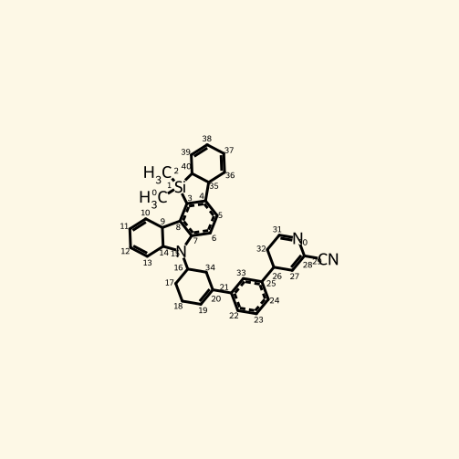 C[Si]1(C)c2c(ccc3c2C2C=CC=CC2N3C2CCC=C(c3cccc(C4C=C(C#N)N=CC4)c3)C2)C2C=CC=CC21